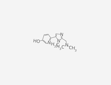 CN(C)Cc1ncc(-c2ccc(O)cn2)n1C